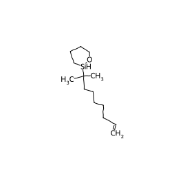 C=CCCCCCC(C)(C)[SiH]1CCCCO1